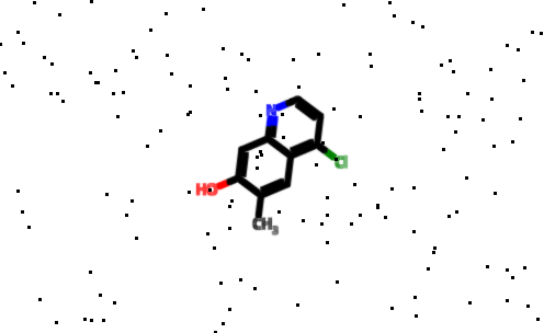 Cc1cc2c(Cl)ccnc2cc1O